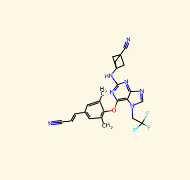 Cc1cc(/C=C/C#N)cc(C)c1Oc1nc(NC23CC(C#N)(C2)C3)nc2ncn(CC(F)(F)F)c12